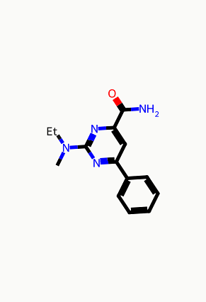 CCN(C)c1nc(C(N)=O)cc(-c2ccccc2)n1